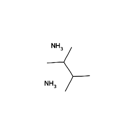 CC(C)C(C)C.N.N